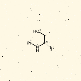 CC[C@@H](CO)NC(C)C